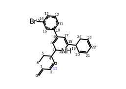 C=C/C=C\C(CC)C1C=C(c2cccc(Br)c2)C=C(C2C=CC=CC2)N1